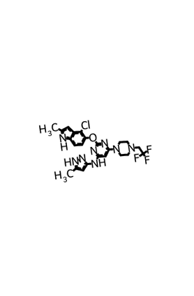 Cc1cc(Nc2cc(N3CCN(CC(F)(F)F)CC3)nc(Oc3ccc4[nH]c(C)cc4c3Cl)n2)n[nH]1